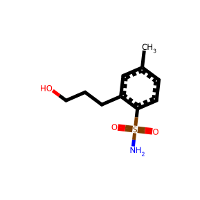 Cc1ccc(S(N)(=O)=O)c(CCCO)c1